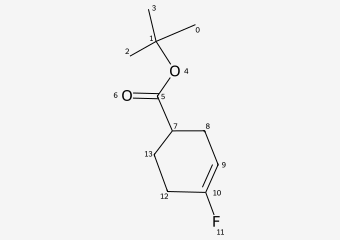 CC(C)(C)OC(=O)C1CC=C(F)CC1